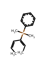 C/C=C\C(=C/C)S(C)(C)c1ccccc1